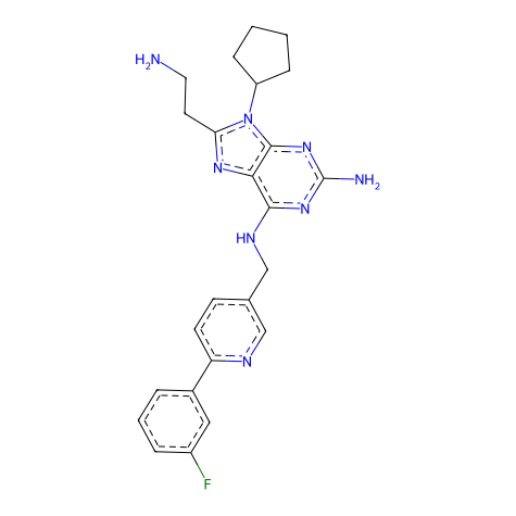 NCCc1nc2c(NCc3ccc(-c4cccc(F)c4)nc3)nc(N)nc2n1C1CCCC1